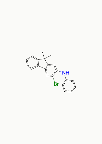 CC1(C)c2ccccc2-c2cc(Br)c(Nc3ccccc3)cc21